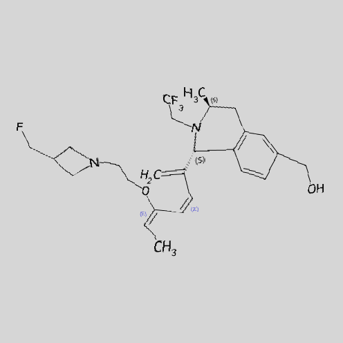 C=C(/C=C\C(=C/C)OCCN1CC(CF)C1)[C@H]1c2ccc(CO)cc2C[C@H](C)N1CC(F)(F)F